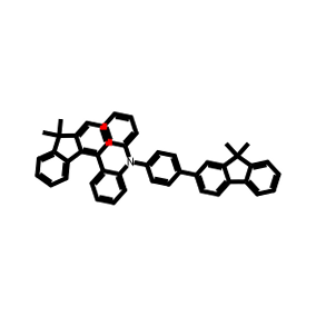 CC1(C)c2ccccc2-c2ccc(-c3ccc(N(c4ccccc4)c4ccccc4-c4cccc5c4-c4ccccc4C5(C)C)cc3)cc21